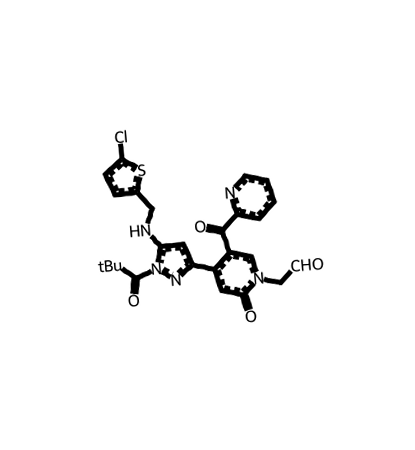 CC(C)(C)C(=O)n1nc(-c2cc(=O)n(CC=O)cc2C(=O)c2ccccn2)cc1NCc1ccc(Cl)s1